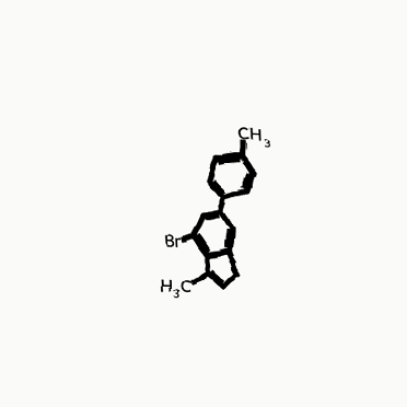 CC1=CCc2cc(-c3ccc(C)cc3)cc(Br)c21